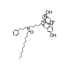 CCCCCCCCCCCC(=O)N(CCCCC[C@@H]1Cc2cc(O)ccc2[C@@H]2[C@@H]1[C@@H]1CC[C@H](O)[C@@]1(C)C[C@@H]2F)CCCc1ccccc1